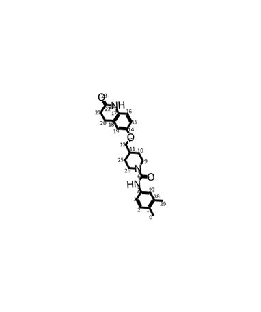 Cc1ccc(NC(=O)N2CCC(COc3ccc4c(c3)CCC(=O)N4)CC2)cc1C